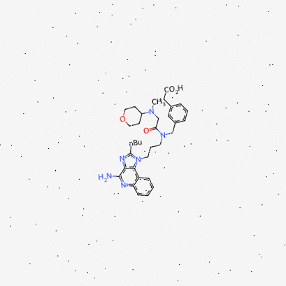 CCCCc1nc2c(N)nc3ccccc3c2n1CCCN(Cc1cccc(CC(=O)O)c1)C(=O)CN(C)C1CCOCC1